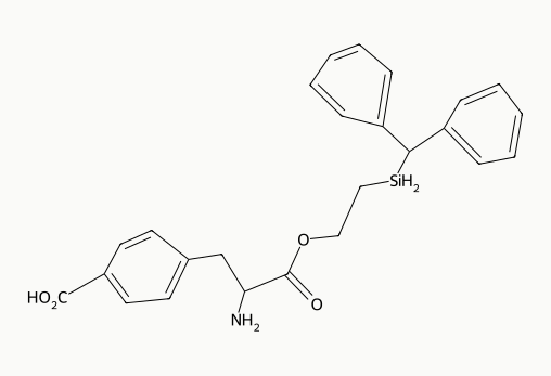 NC(Cc1ccc(C(=O)O)cc1)C(=O)OCC[SiH2]C(c1ccccc1)c1ccccc1